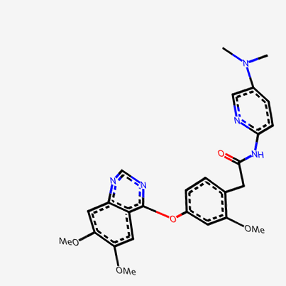 COc1cc(Oc2ncnc3cc(OC)c(OC)cc23)ccc1CC(=O)Nc1ccc(N(C)C)cn1